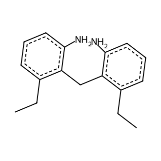 CCc1cccc(N)c1Cc1c(N)cccc1CC